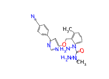 Cc1cccc(N(N)C(=O)N(C)N)c1COc1cc(-c2ccc(C#N)cc2)ncn1